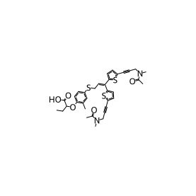 CCC(Oc1ccc(SCC=C(c2ccc(C#CCN(C)C(C)=O)s2)c2ccc(C#CCN(C)C(C)=O)s2)cc1C)C(=O)O